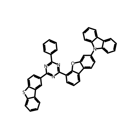 c1ccc(-c2nc(-c3ccc4sc5ccccc5c4c3)nc(-c3cccc4c3oc3cc(-n5c6ccccc6c6ccccc65)ccc34)n2)cc1